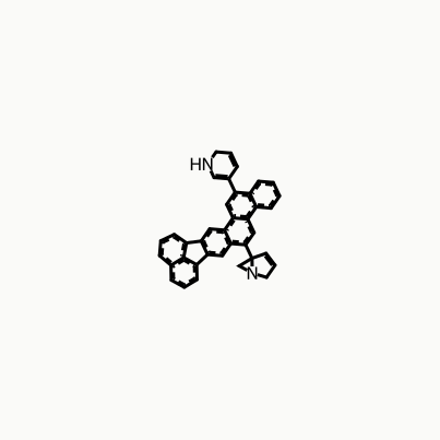 C1=CC(c2cc3c4cc5c(cc4c(C46C=CCN4C6)cc3c3ccccc23)-c2cccc3cccc-5c23)=CNC1